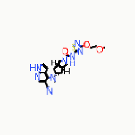 COCCOc1nsc(NC(=O)N2C[C@H]3C[C@H](N(C)c4c(C#N)cnc5[nH]ccc45)C[C@H]3C2)n1